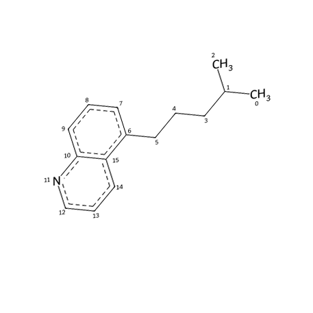 CC(C)CCCc1cccc2ncccc12